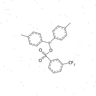 Cc1ccc([I+](OS(=O)(=O)c2cccc(C(F)(F)F)c2)c2ccc(C)cc2)cc1